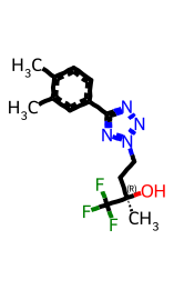 Cc1ccc(-c2nnn(CC[C@@](C)(O)C(F)(F)F)n2)cc1C